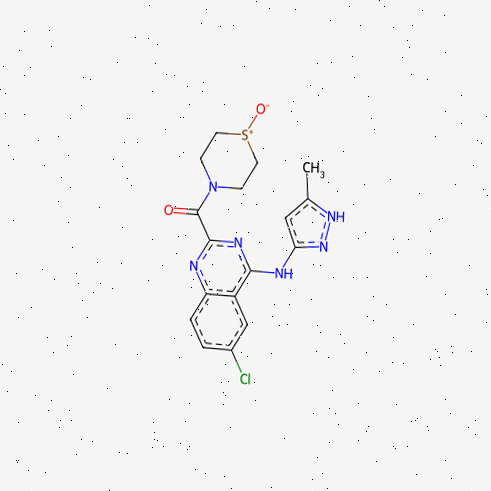 Cc1cc(Nc2nc(C(=O)N3CC[S+]([O-])CC3)nc3ccc(Cl)cc23)n[nH]1